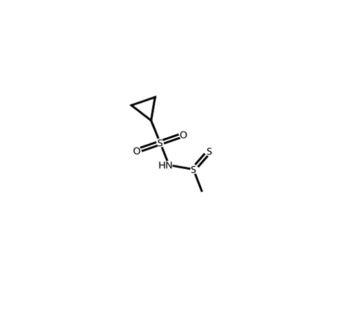 CS(=S)NS(=O)(=O)C1CC1